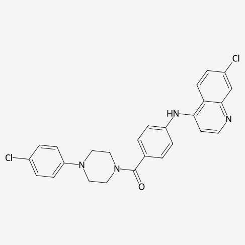 O=C(c1ccc(Nc2ccnc3cc(Cl)ccc23)cc1)N1CCN(c2ccc(Cl)cc2)CC1